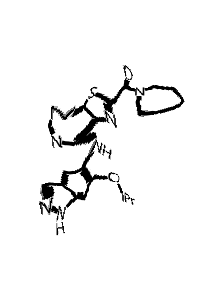 CC(C)Oc1cc2[nH]ncc2cc1Nc1ncnc2sc(C(=O)N3CCCCC3)nc12